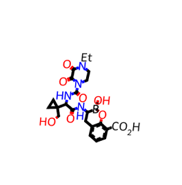 CCN1CCN(C(=O)NC(C(=O)NC2Cc3cccc(C(=O)O)c3OB2O)C2(CO)CC2)C(=O)C1=O